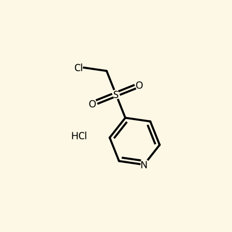 Cl.O=S(=O)(CCl)c1ccncc1